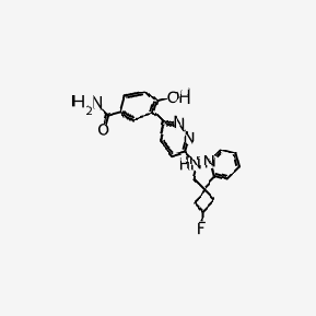 NC(=O)c1ccc(O)c(-c2ccc(NCC3(c4ccccn4)CC(F)C3)nn2)c1